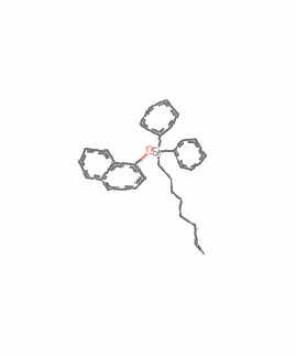 CCCCCCCC[Si](Oc1cccc2ccccc12)(c1ccccc1)c1ccccc1